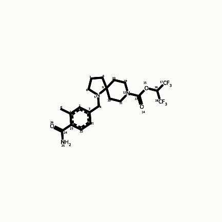 Cc1cc(CN2CCCC23CCN(C(=O)OC(C(F)(F)F)C(F)(F)F)CC3)ccc1C(N)=O